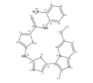 COc1ccc2nc(C)c(-c3cnc(Nc4ccc(C(=O)Nc5ccccc5N)s4)s3)n2c1